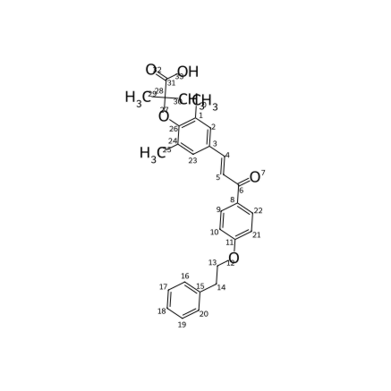 Cc1cc(C=CC(=O)c2ccc(OCCc3ccccc3)cc2)cc(C)c1OC(C)(C)C(=O)O